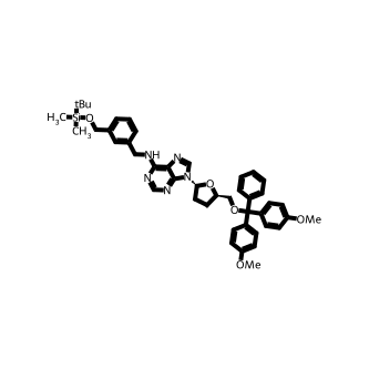 COc1ccc(C(OC[C@H]2[CH]C[C@H](n3cnc4c(NCc5cccc(CO[Si](C)(C)C(C)(C)C)c5)ncnc43)O2)(c2ccccc2)c2ccc(OC)cc2)cc1